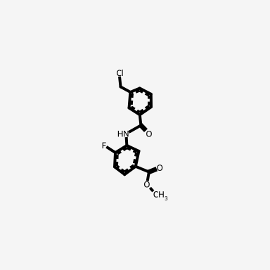 COC(=O)c1ccc(F)c(NC(=O)c2cccc(CCl)c2)c1